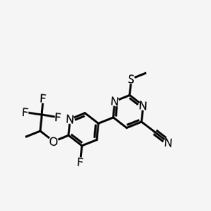 CSc1nc(C#N)cc(-c2cnc(OC(C)C(F)(F)F)c(F)c2)n1